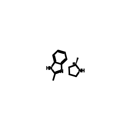 C[C@H]1CCCN1.Cc1nc2ccccc2[nH]1